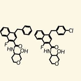 O=C(NC1CCOCC1O)c1cc(Cc2ccc(Cl)cc2)c2ccccc2c1F.O=C(NC1CCOCC1O)c1cc(Cc2ccccc2)c2ccccc2c1F